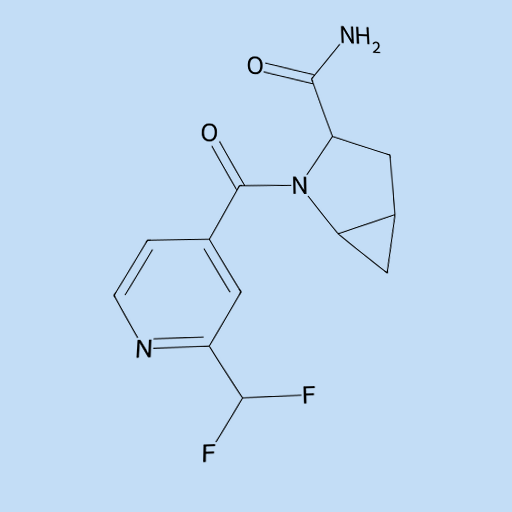 NC(=O)C1CC2CC2N1C(=O)c1ccnc(C(F)F)c1